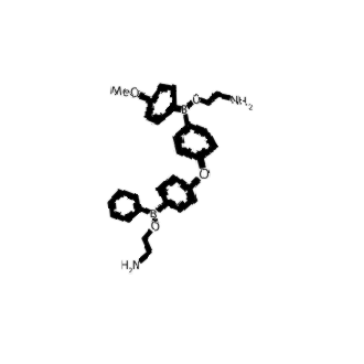 COc1ccc(B(OCCN)c2ccc(Oc3ccc(B(OCCN)c4ccccc4)cc3)cc2)cc1